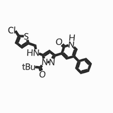 CC(C)(C)C(=O)n1nc(-c2cc(-c3ccccc3)c[nH]c2=O)cc1NCc1ccc(Cl)s1